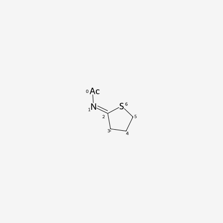 CC(=O)N=C1[CH]CCS1